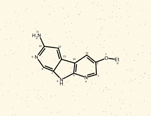 CCOc1cnc2[nH]c3cnc(N)cc3c2c1